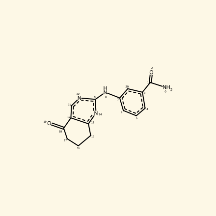 NC(=O)c1cccc(Nc2ncc3c(n2)CCCC3=O)c1